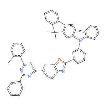 Cc1ccccc1-c1nc(-c2ccccc2)nc(-c2ccc3nc(-c4cccc(-n5c6ccccc6c6cc7c(cc65)C(C)(C)c5ccccc5-7)c4)oc3c2)n1